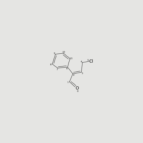 O=C/C(=C/CCl)c1ccccc1